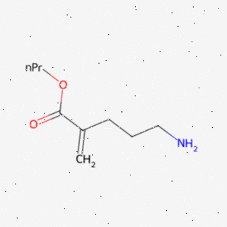 C=C(CCCN)C(=O)OCCC